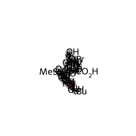 CSC1CC(=O)N(CCCCCC(=O)N[C@@H](Cc2ccc(O)cc2)C(=O)N[C@H](C(=O)N[C@@H](C)C(=O)N[C@@H](CC(=O)O)C(=O)Nc2ccc(COC(=O)N3C(=O)C=C[C@]4(C)[C@H]5CC[C@]6(C)[C@@H](C(=O)NC(C)(C)C)CC[C@H]6[C@@H]5CC[C@@H]34)cc2)C(C)C)C1=O